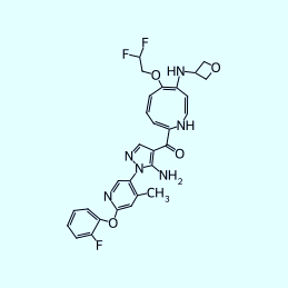 Cc1cc(Oc2ccccc2F)ncc1-n1ncc(C(=O)c2cccc(OCC(F)F)c(NC3COC3)cc[nH]2)c1N